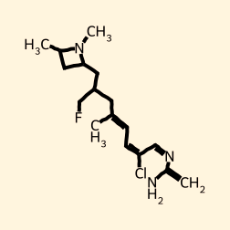 C=C(N)\N=C/C(Cl)=C\C=C(/C)CC(CF)CC1CC(C)N1C